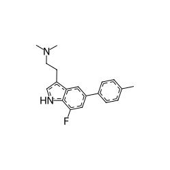 Cc1ccc(-c2cc(F)c3[nH]cc(CCN(C)C)c3c2)cc1